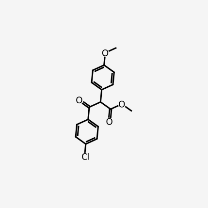 COC(=O)C(C(=O)c1ccc(Cl)cc1)c1ccc(OC)cc1